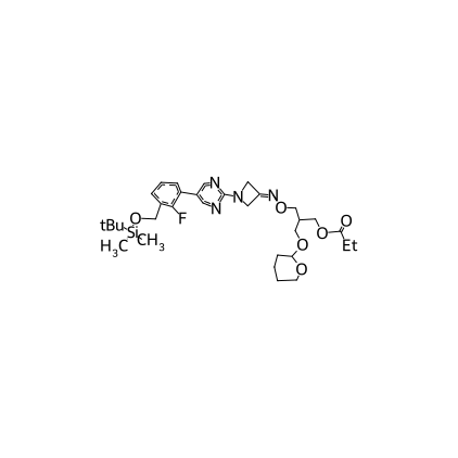 CCC(=O)OCC(CON=C1CN(c2ncc(-c3cccc(CO[Si](C)(C)C(C)(C)C)c3F)cn2)C1)COC1CCCCO1